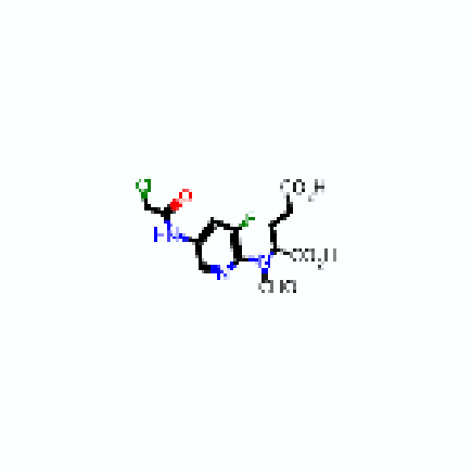 O=CN(c1ncc(NC(=O)CCl)cc1F)[C@@H](CCC(=O)O)C(=O)O